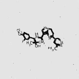 Cc1cc(-c2ccn3ncc(C(=O)N[C@@H](c4ccc(OC(F)(F)F)c(F)c4)C(C)(C)O)c3n2)cnn1